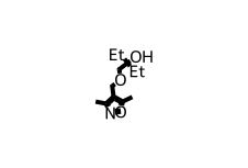 CCC(O)(CC)COCc1c(C)noc1C